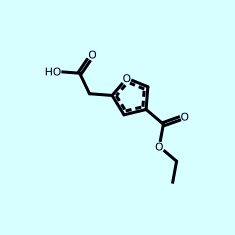 CCOC(=O)c1coc(CC(=O)O)c1